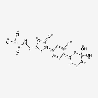 O=C(NC[C@H]1CN(c2ccc(C3CCSC(O)(O)C3)c(F)c2)C(=O)O1)C(Cl)Cl